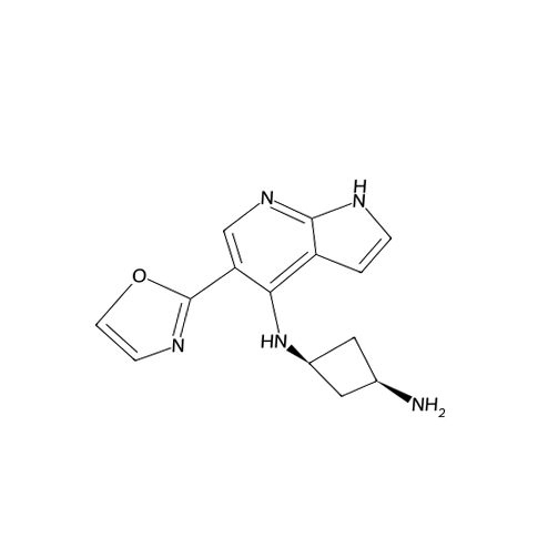 N[C@H]1C[C@@H](Nc2c(-c3ncco3)cnc3[nH]ccc23)C1